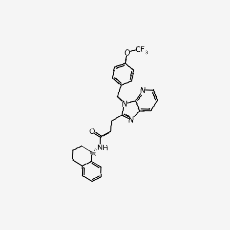 O=C(CCc1nc2cccnc2n1Cc1ccc(OC(F)(F)F)cc1)N[C@H]1CCCc2ccccc21